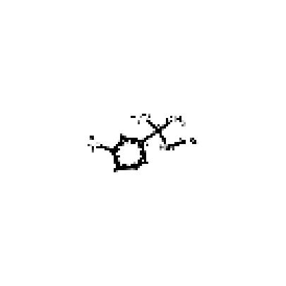 CCCCBC(C)(C)c1cccc(C(F)(F)F)c1